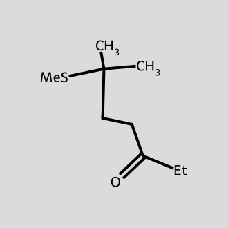 CCC(=O)CCC(C)(C)SC